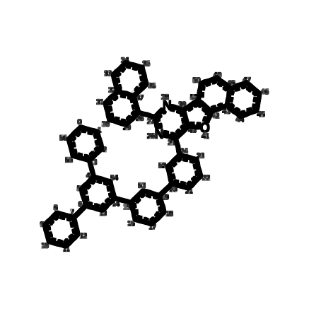 c1ccc(-c2cc(-c3ccccc3)cc(-c3cccc(-c4cccc(-c5nc(-c6cccc7ccccc67)nc6c5oc5c7ccccc7ccc65)c4)c3)c2)cc1